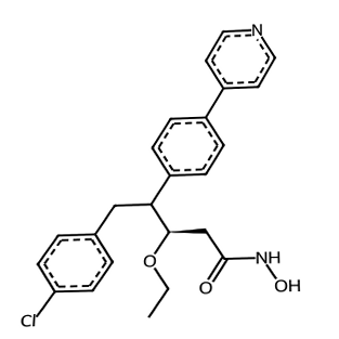 CCO[C@H](CC(=O)NO)C(Cc1ccc(Cl)cc1)c1ccc(-c2ccncc2)cc1